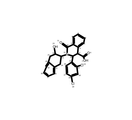 O=C(O)C1c2ccccc2C(=O)N(C2Cc3ccccc3CC2O)C1c1ccc(Cl)cc1Cl